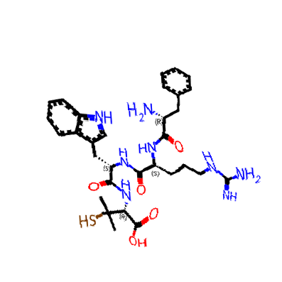 CC(C)(S)[C@H](NC(=O)[C@H](Cc1c[nH]c2ccccc12)NC(=O)[C@H](CCCNC(=N)N)NC(=O)[C@H](N)Cc1ccccc1)C(=O)O